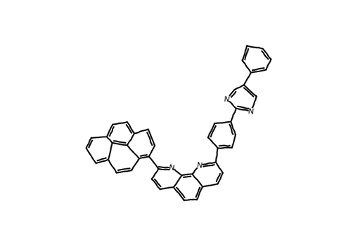 c1ccc(-c2cnc(-c3ccc(-c4ccc5ccc6ccc(-c7ccc8ccc9cccc%10ccc7c8c9%10)nc6c5n4)cc3)nc2)cc1